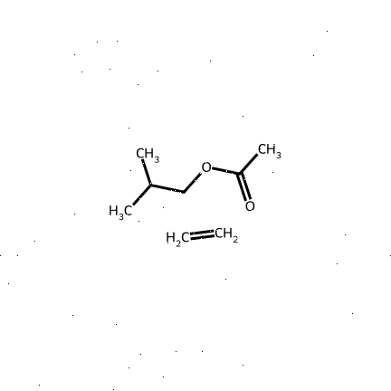 C=C.CC(=O)OCC(C)C